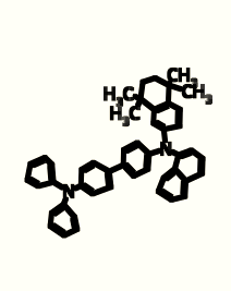 CC1(C)CCC(C)(C)c2cc(N(c3ccc(-c4ccc(N(c5ccccc5)c5ccccc5)cc4)cc3)c3cccc4ccccc34)ccc21